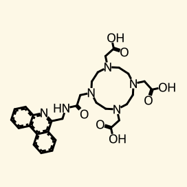 O=C(O)CN1CCN(CC(=O)O)CCN(CC(=O)NCc2nc3ccccc3c3ccccc23)CCN(CC(=O)O)CC1